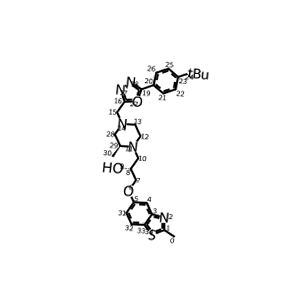 Cc1nc2cc(OC[C@H](O)CN3CCN(Cc4nnc(-c5ccc(C(C)(C)C)cc5)o4)C[C@@H]3C)ccc2s1